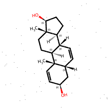 C[C@]12C=C[C@H](O)C[C@H]1C=C[C@@H]1[C@@H]2CC[C@]2(C)[C@@H](O)CC[C@@H]12